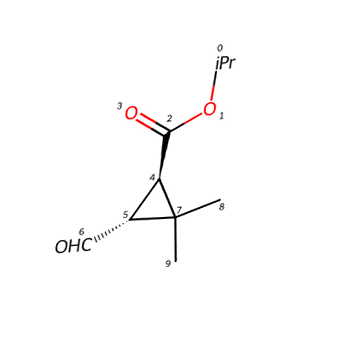 CC(C)OC(=O)[C@@H]1[C@@H](C=O)C1(C)C